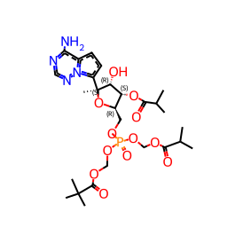 CC(C)C(=O)OCOP(=O)(OCOC(=O)C(C)(C)C)OC[C@H]1O[C@@](C)(c2ccc3c(N)ncnn23)[C@H](O)[C@@H]1OC(=O)C(C)C